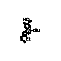 C=C/C=C\c1cc2n(c1CC)CC(C(C)(C)C)N1C=C(C(=C)O)C(=C)C=C21